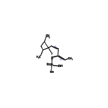 C/C=C(\C=C/C1(F)C(C)CC1C)OP(=O)(O)O